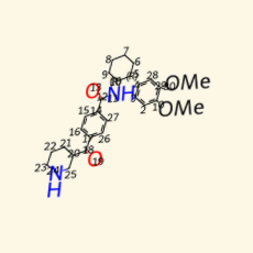 COc1ccc([C@H]2CCCC[C@H]2NC(=O)c2ccc(C(=O)C3CCCNC3)cc2)cc1OC